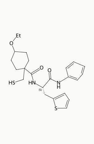 CCOC1CCC(CS)(C(=O)N[C@@H](Cc2cccs2)C(=O)Nc2ccccc2)CC1